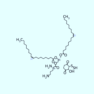 CCCCCCCC/C=C\CCCCCCCC(=O)OC[C@H](COC(=O)[C@@H](N)CCCN)OC(=O)CCCCCCC/C=C\CCCCCCCC.O=C1CCC(=O)C(SS)C1O